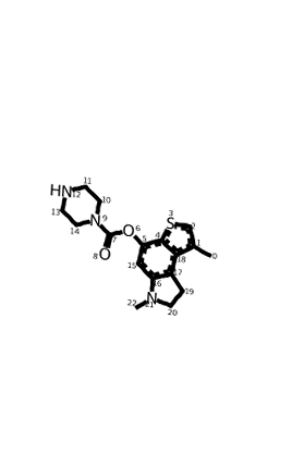 Cc1csc2c(OC(=O)N3CCNCC3)cc3c(c12)CCN3C